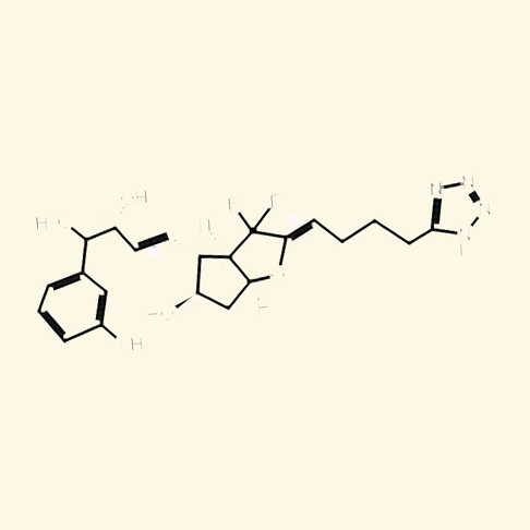 Cc1cccc(C(C)[C@H](O)/C=C/[C@@H]2[C@@H]3[C@H](C[C@H]2O)O/C(=C\CCCc2nnn[nH]2)C3(F)F)c1